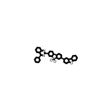 O=S1(=O)c2cc(-c3ccc4oc5ccccc5c4c3)ccc2-c2ccc(-c3nc(-c4ccccc4)c4ccccc4n3)cc21